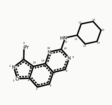 CC(C)c1noc2ccc3cnc(NC4CCCCC4)nc3c12